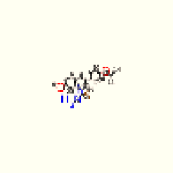 COc1ccc(CC(c2ccc(OC(C)C)cc2)c2csc(N)n2)cc1